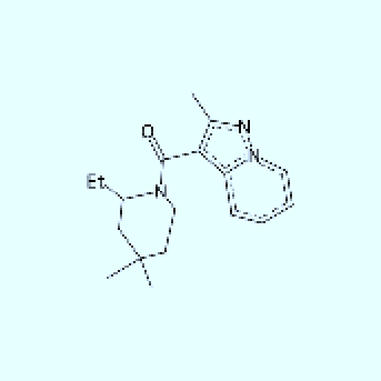 CCC1CC(C)(C)CCN1C(=O)c1c(C)nn2ccccc12